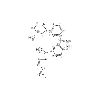 C=N/C=C\C=C(/C)c1cc2c(-c3cccc(N4CCC[C@@H](O)C4)n3)n[nH]c2cn1